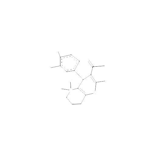 CC(=O)C1=C(C)NC2=C(C1c1ccc(Cl)c(Cl)c1)S(O)(O)CCC2